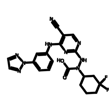 N#Cc1cnc(NN(C(=O)O)C2CCCC(F)(F)C2)nc1Nc1cccc(-n2nccn2)c1